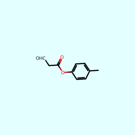 Cc1ccc(OC(=O)CC=O)cc1